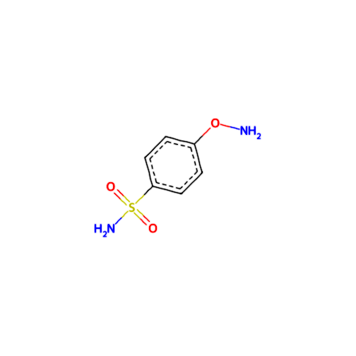 NOc1ccc(S(N)(=O)=O)cc1